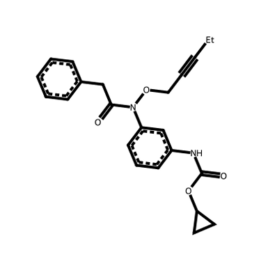 CCC#CCON(C(=O)Cc1ccccc1)c1cccc(NC(=O)OC2CC2)c1